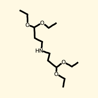 CCOC(CCNCCC(OCC)OCC)OCC